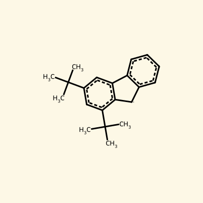 CC(C)(C)c1cc2c(c(C(C)(C)C)c1)[CH]c1ccccc1-2